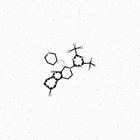 FC(F)(F)c1nc(N2CCc3c([nH]c4ccc(Cl)cc34)[C@@H]2C[C@@H]2CCCOC2)nc(C(Cl)(Cl)Cl)n1